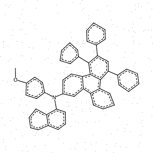 COc1ccc(N(c2ccc3c(c2)c2ccccc2c2c(-c4ccccc4)cc(-c4ccccc4)c(-c4ccccc4)c32)c2cccc3ccccc23)cc1